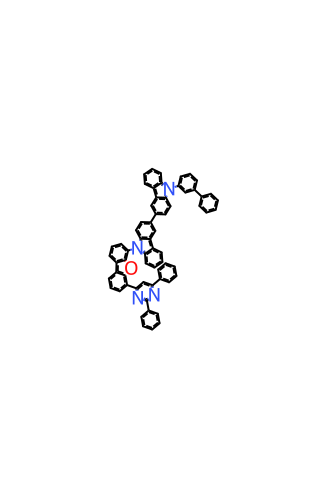 c1ccc(-c2cccc(-n3c4ccccc4c4cc(-c5ccc6c(c5)c5ccccc5n6-c5cccc6c5oc5c(-c7cc(-c8ccccc8)nc(-c8ccccc8)n7)cccc56)ccc43)c2)cc1